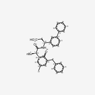 CCCC[C@@H](C(=O)N[C@@H](CC(=O)O)c1cccc(-c2ccccc2)c1)n1cc(C)cc(Cc2ccccc2)c1=O